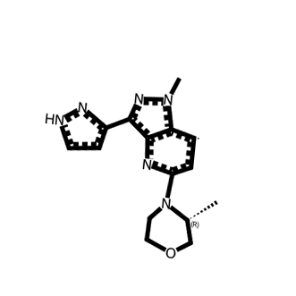 C[C@@H]1COCCN1c1c[c]c2c(n1)c(-c1cc[nH]n1)nn2C